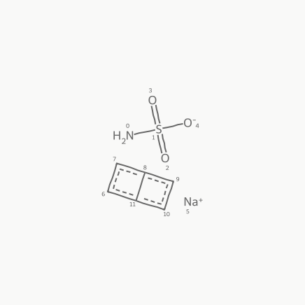 NS(=O)(=O)[O-].[Na+].c1cc2ccc1-2